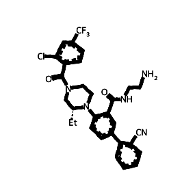 CC[C@@H]1CN(C(=O)c2ccc(C(F)(F)F)cc2Cl)CCN1c1ccc(-c2ccccc2C#N)cc1C(=O)NCCN